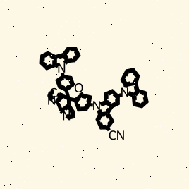 N#Cc1ccc2c(c1)c1cc(-n3c4ccccc4c4ccccc43)ccc1n2-c1ccc2c(c1)Oc1cc(-n3c4ccccc4c4ccccc43)ccc1C21c2cccnc2-c2ncccc21